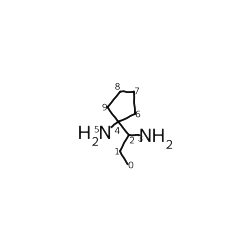 CCC(N)C1(N)CCCC1